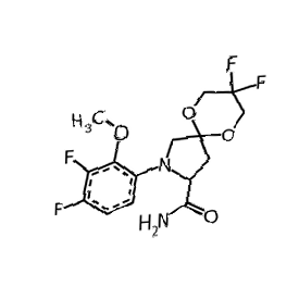 COc1c(N2CC3(CC2C(N)=O)OCC(F)(F)CO3)ccc(F)c1F